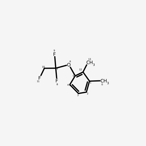 Cc1cc[c]c(OC(F)(F)CF)c1C